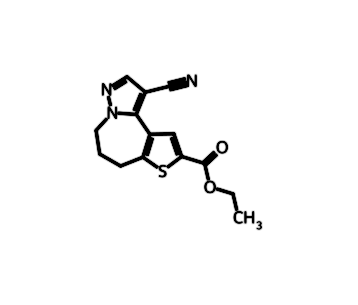 CCOC(=O)c1cc2c(s1)CCCn1ncc(C#N)c1-2